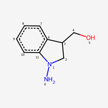 NN1CC(CO)c2ccccc21